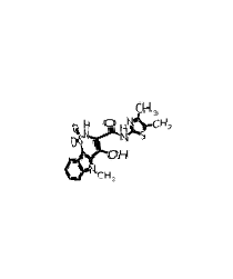 Cc1nc(NC(=O)C2=C(O)c3c(c4ccccc4n3C)S(=O)(=O)N2)sc1C